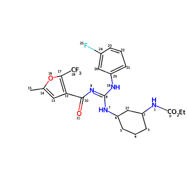 CCOC(=O)NC1CCCC(N/C(=N\C(=O)c2cc(C)oc2C(F)(F)F)Nc2cccc(F)c2)C1